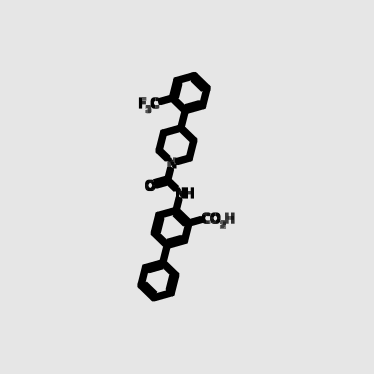 O=C(O)c1cc(-c2ccccc2)ccc1NC(=O)N1CCC(c2ccccc2C(F)(F)F)CC1